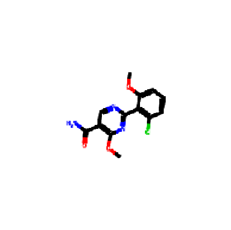 COc1cccc(Cl)c1-c1ncc(C(N)=O)c(OC)n1